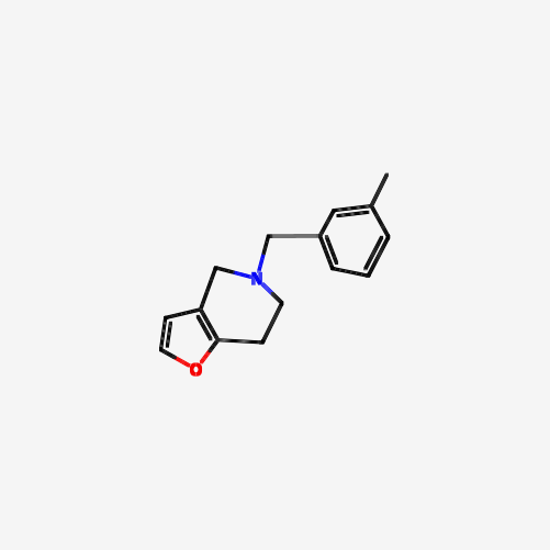 Cc1cccc(CN2CCc3occc3C2)c1